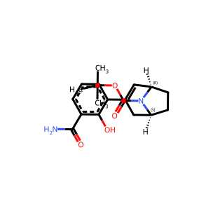 CC(C)(C)OC(=O)N1[C@H]2CC[C@@H]1C=C(c1cccc(C(N)=O)c1O)C2